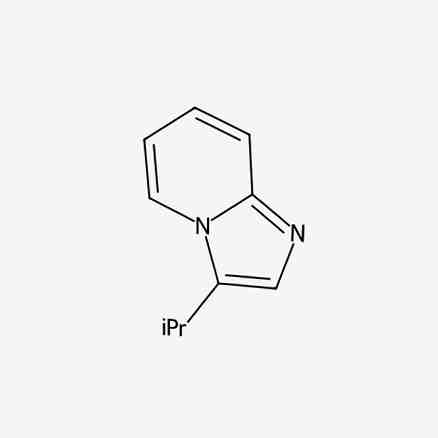 CC(C)c1cnc2ccccn12